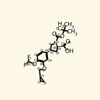 CC(C)(C)OC(=O)N1C[C@H](c2ccc(OC(F)F)c(OCC3CC3)c2)C[C@@H]1C(=O)O